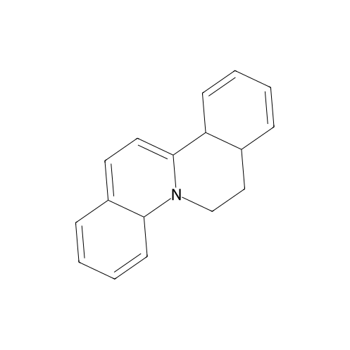 C1=CC2=CC=C3C4C=CC=CC4CCN3C2C=C1